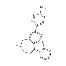 CN1CC=C(c2ccccc2F)c2ccc(-c3ccc(N)nn3)cc2C1